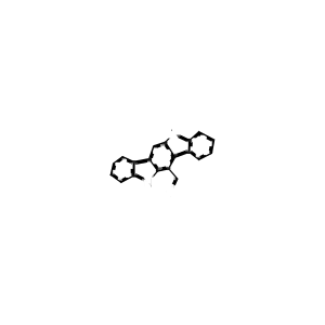 O=Cc1c2c(cc3c1=c1ccccc1=N3)=c1ccccc1=N2